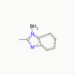 Bn1c(C)nc2ccccc21